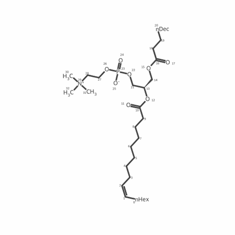 CCCCCC/C=C\CCCCCCCC(=O)O[C@H](COC(=O)CCCCCCCCCCCC)COP(=O)([O-])OCC[N+](C)(C)C